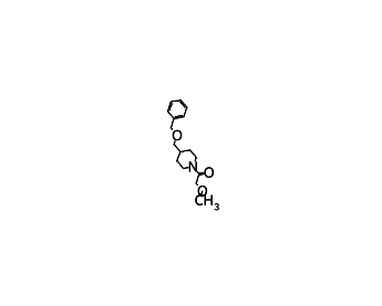 COCC(=O)N1CCC(COCc2ccccc2)CC1